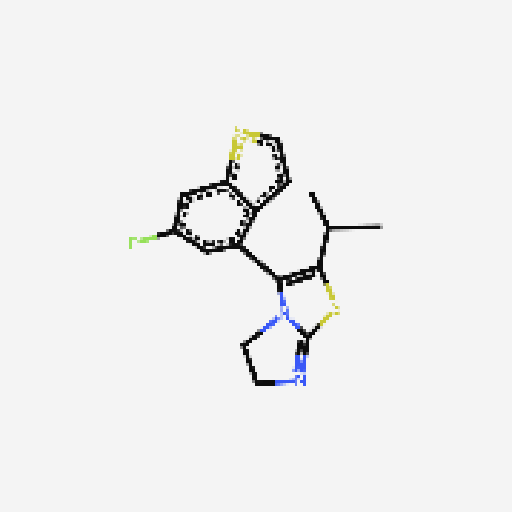 CC(C)C1=C(c2cc(F)cc3sccc23)N2CCN=C2S1